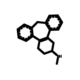 CNC1CCC2=C(C1)c1ccccc1Cc1ccccc12